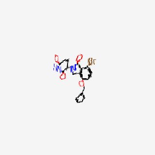 O=C1CC[C@H](N2Cc3c(OCc4ccccc4)ccc(Br)c3C2=O)C(=O)N1